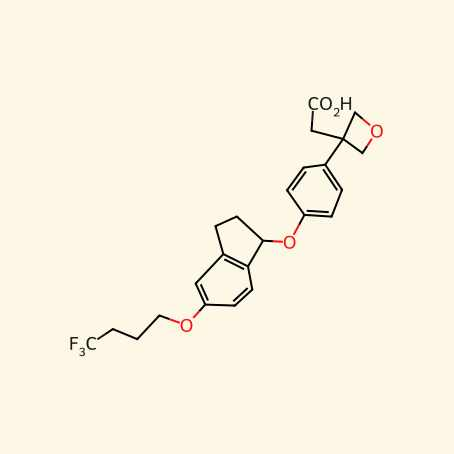 O=C(O)CC1(c2ccc(OC3CCc4cc(OCCCC(F)(F)F)ccc43)cc2)COC1